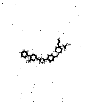 C=CCC1(OC(=O)O)CCN(Cc2ccc(-c3noc(-c4ccc(-c5ccccc5)c(Cl)c4)n3)cc2)CC1